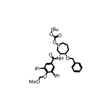 COCOc1c(C(C)C)cc(C(=O)N[C@@H]2CN(OC(=O)OC(C)(C)C)CCC[C@H]2OCc2ccccc2)cc1C(C)C